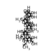 CCCO[C@@H]1OC(CO)[C@@H](O)[C@H](O[C@@H]2OC(C)[C@H](O)[C@H](O[C@@H]3OC(C)[C@H](O)[C@H](O)C3O[C@@H]3OC(C)[C@H](O)[C@H](O[C@H]4O[C@@H](CO)[C@@H](O)C(O)C4O)C3O)C2O)C1NC(C)=O